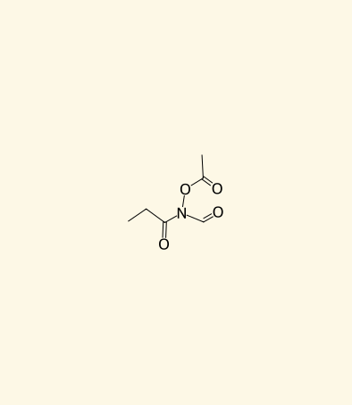 CCC(=O)N(C=O)OC(C)=O